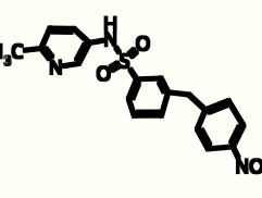 Cc1ccc(NS(=O)(=O)c2cccc(Cc3ccc([N+](=O)[O-])cc3)c2)cn1